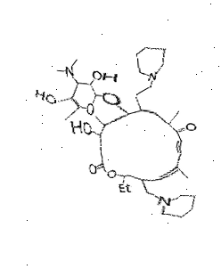 CCC1OC(=O)CC(O)C(C)C(OC2OC(C)C(O)C(N(C)C)C2O)C(CCN2CCCCC2)CC(C)C(=O)C=CC(C)=CC1CN1CCCCC1